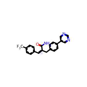 NC(=O)/C(=C\c1ccc(C(F)(F)F)cc1)Cc1ccc(-c2cncnc2)cc1